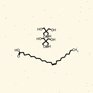 CCCCCCCC/C=C\CCCCCCCCCCCC(=O)O.OCC(CO)(CO)CO.OCC(CO)(CO)CO